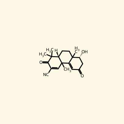 CC1(C)C(=O)C(C#N)=CC2(C)C3=CC(=O)C[C@@H](O)C3(C)CC[C@@H]12